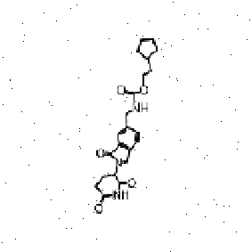 O=C1CCC(N2Cc3ccc(CNC(=O)OCCC4CCCC4)cc3C2=O)C(=O)N1